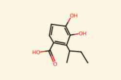 CCC(C)c1c(C(=O)O)ccc(O)c1O